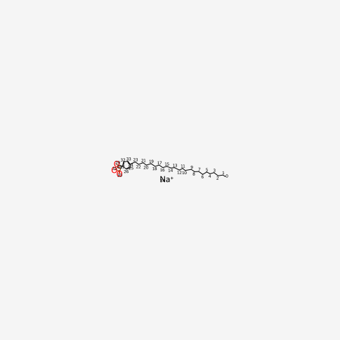 CCCCCCCCCCCCCCCCCCCCCCCCc1ccc(S(=O)(=O)[O-])cc1.[Na+]